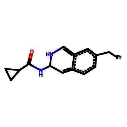 CC(C)Cc1ccc2c(c1)=CNC(NC(=O)C1CC1)C=2